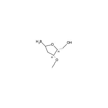 BC1C[C@@H](OC)[C@@H](CO)O1